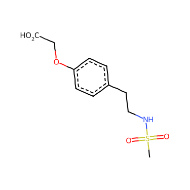 CS(=O)(=O)NCCc1ccc(OCC(=O)O)cc1